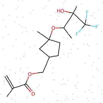 C=C(C)C(=O)OCC1CCC(C)(OC(C)C(C)(O)C(F)(F)F)C1